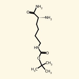 CC(C)(C)OC(=O)NCCCC[C@@H](N)C(N)=O